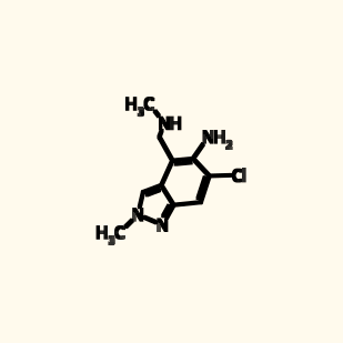 CNCc1c(N)c(Cl)cc2nn(C)cc12